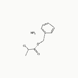 CC(Cl)C(=O)OCc1ccccc1.N